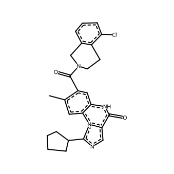 Cc1cc2c(cc1C(=O)N1CCc3c(Cl)cccc3C1)[nH]c(=O)c1cnc(C3CCCC3)n12